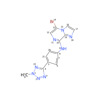 Cn1nnc(-c2ccc(Nc3ncc(Br)n4ccnc34)cc2)n1